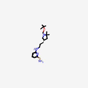 CC(C)(C)OCN1C[C@@H](CCCNc2cccc(SN)n2)CC1(C)C